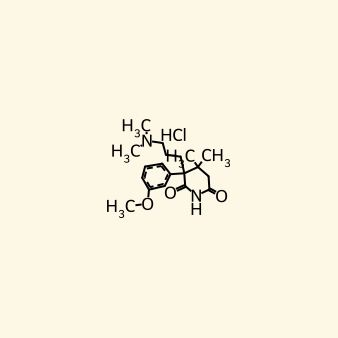 COc1cccc(C2(CCCN(C)C)C(=O)NC(=O)CC2(C)C)c1.Cl